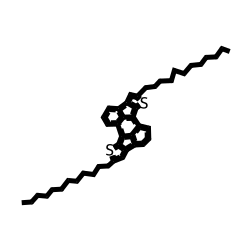 CCCCCCCCCCCCc1cc2c3cccc4c3c(c3cccc5c6cc(CCCCCCCCCCCC)sc6c4c53)c2s1